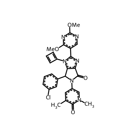 COc1ncc(-c2nc3c(n2C2=CC=C2)C(c2cccc(Cl)c2)N(c2cc(C)c(=O)n(C)c2)C3=O)c(OC)n1